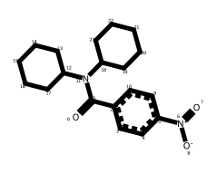 O=C(c1ccc([N+](=O)[O-])cc1)N(C1CCCCC1)C1CCCCC1